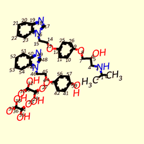 CC(C)NCC(O)COc1ccc(OCCn2cnc3ccccc32)cc1.O=C(O)C(=O)O.O=C(O)C(=O)O.Oc1ccc(OCCn2cnc3ccccc32)cc1